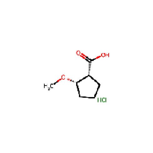 CO[C@H]1CCC[C@H]1C(=O)O.Cl